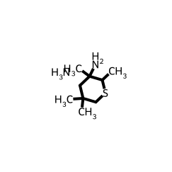 CC1SCC(C)(C)CC1(C)N.N